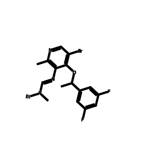 CCN(C)C=Nc1c(C)ncc(Br)c1OC(C)c1cc(F)cc(F)c1